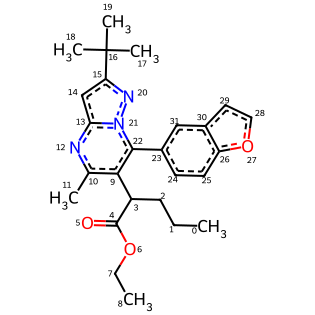 CCCC(C(=O)OCC)c1c(C)nc2cc(C(C)(C)C)nn2c1-c1ccc2occc2c1